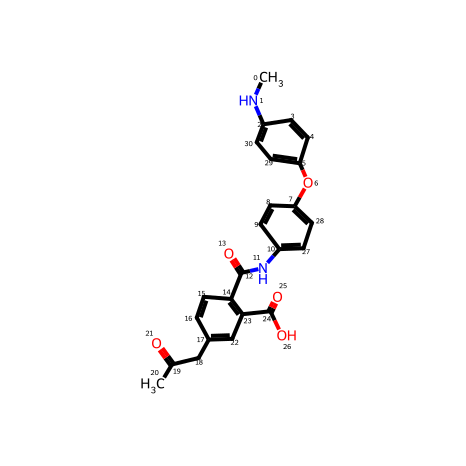 CNc1ccc(Oc2ccc(NC(=O)c3ccc(CC(C)=O)cc3C(=O)O)cc2)cc1